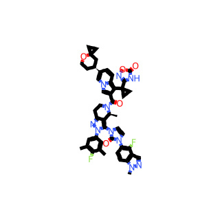 Cc1cc(-n2nc3c(c2-n2ccn(-c4ccc5c(cnn5C)c4F)c2=O)[C@H](C)N(C(=O)c2cn4cc([C@@H]5CCOC6(CC6)C5)ccc4c2C2(c4noc(=O)[nH]4)CC2)CC3)cc(C)c1F